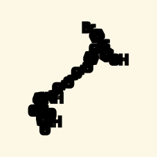 O=C1CCC(N2Cc3c(NCCOCCOCCOCCOc4ccc(Oc5c(-c6ccc(Br)cc6)sc6cc(O)ccc56)cc4)cccc3C2=O)C(=O)N1